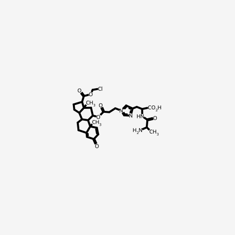 CC(N)C(=O)NC(Cc1cn(CCC(=O)OC2CC3(C)C(C(=O)OCCl)CCC3C3CCC4=CC(=O)C=CC4(C)C23)cn1)C(=O)O